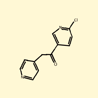 O=C(Cc1ccncc1)c1ccc(Cl)nc1